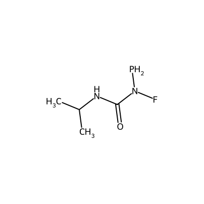 CC(C)NC(=O)N(F)P